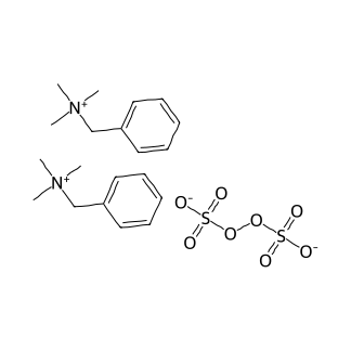 C[N+](C)(C)Cc1ccccc1.C[N+](C)(C)Cc1ccccc1.O=S(=O)([O-])OOS(=O)(=O)[O-]